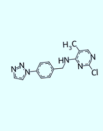 Cc1cnc(Cl)nc1NCc1ccc(-n2ccnn2)cc1